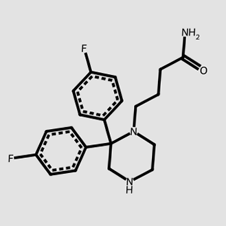 NC(=O)CCCN1CCNCC1(c1ccc(F)cc1)c1ccc(F)cc1